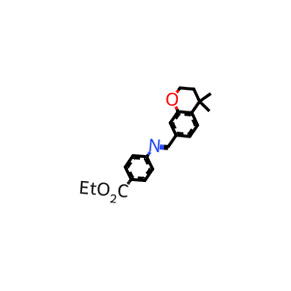 CCOC(=O)c1ccc(N=Cc2ccc3c(c2)OCCC3(C)C)cc1